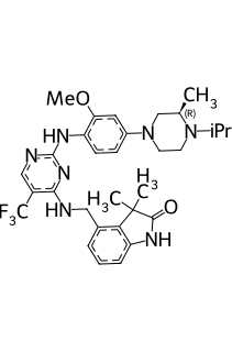 COc1cc(N2CCN(C(C)C)[C@H](C)C2)ccc1Nc1ncc(C(F)(F)F)c(NCc2cccc3c2C(C)(C)C(=O)N3)n1